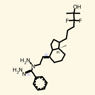 CC(C)(O)C(F)(F)CCCC1CCC2/C(=C/CN(N)/C(=N\N)c3ccccc3)CCC[C@]12C